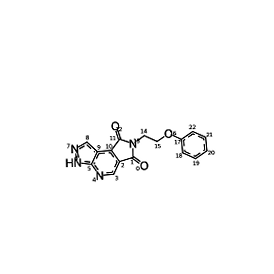 O=C1c2cnc3[nH]ncc3c2C(=O)N1CCOc1ccccc1